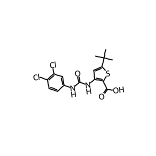 CC(C)(C)c1cc(NC(=O)Nc2ccc(Cl)c(Cl)c2)c(C(=O)O)s1